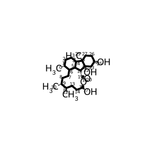 C[C@@H]1CCC2C(C1CC[C@@H](C)[C@H](C)CCC(=O)O)[C@@H](C=O)[C@]1(O)C[C@@H](O)CC[C@]21C